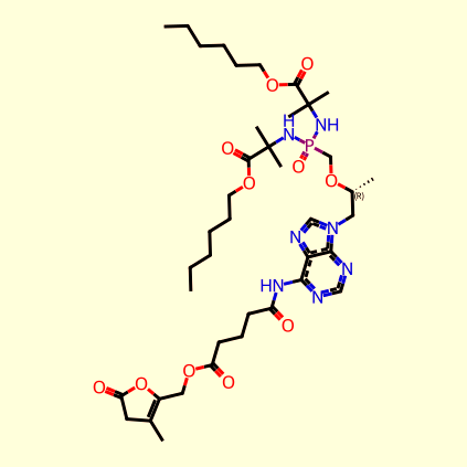 CCCCCCOC(=O)C(C)(C)NP(=O)(CO[C@H](C)Cn1cnc2c(NC(=O)CCCC(=O)OCC3=C(C)CC(=O)O3)ncnc21)NC(C)(C)C(=O)OCCCCCC